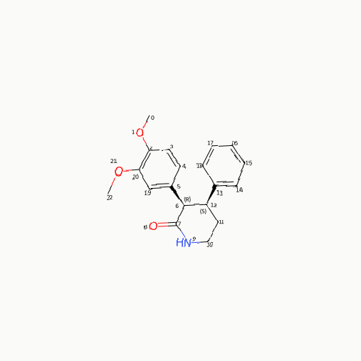 COc1ccc([C@@H]2C(=O)NCC[C@@H]2c2ccccc2)cc1OC